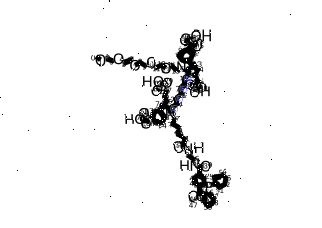 COCCOCCOCCOCCOCC[N+]1=C(/C=C/C=C/C=C/C=C2/N(CCCCCC(=O)NCCNC(=O)c3ccc(C(=O)OC)c(P(c4ccccc4)c4ccccc4)c3)c3ccc(S(=O)(=O)O)cc3C2(C)CCCS(=O)(=O)O)C(C)(CCCS(=O)(=O)O)c2cc(S(=O)(=O)O)ccc21